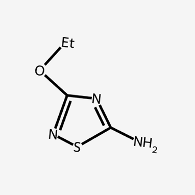 CCOc1nsc(N)n1